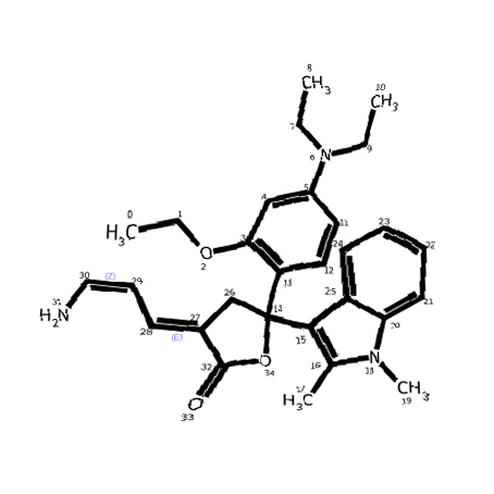 CCOc1cc(N(CC)CC)ccc1C1(c2c(C)n(C)c3ccccc23)C/C(=C\C=C/N)C(=O)O1